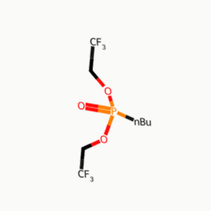 CCCCP(=O)(OCC(F)(F)F)OCC(F)(F)F